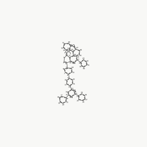 C=C1CC=C(c2ccc(-c3ccc(-c4cc(-c5ccccc5)nc(-c5ccccc5)n4)cc3)cc2)c2nc(-c3ccccc3)c3ccc4oc5ccccc5c4c3c21